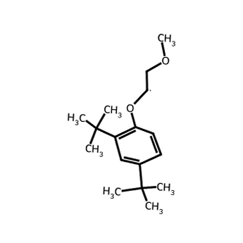 COC[CH]Oc1ccc(C(C)(C)C)cc1C(C)(C)C